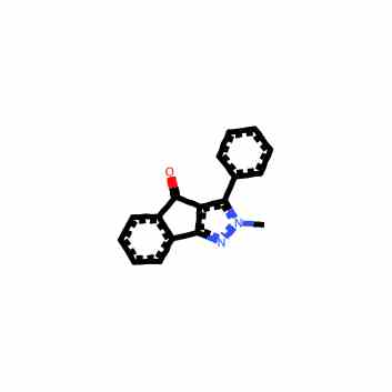 Cn1nc2c(c1-c1ccccc1)C(=O)c1ccccc1-2